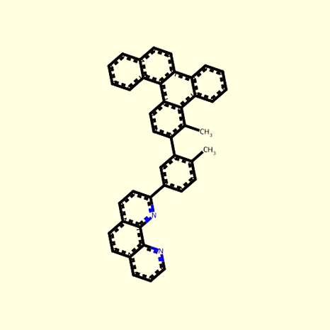 Cc1ccc(-c2ccc3ccc4cccnc4c3n2)cc1-c1ccc2c(c1C)c1ccccc1c1ccc3ccccc3c12